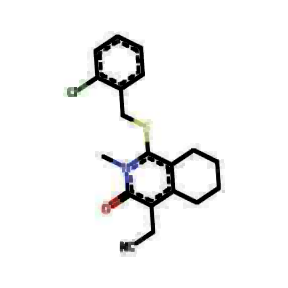 Cn1c(SCc2ccccc2Cl)c2c(c(CC#N)c1=O)CCCC2